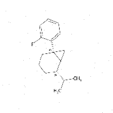 CC(C)[C@@H]1CCC[C@@]2(c3ccccc3F)CC12